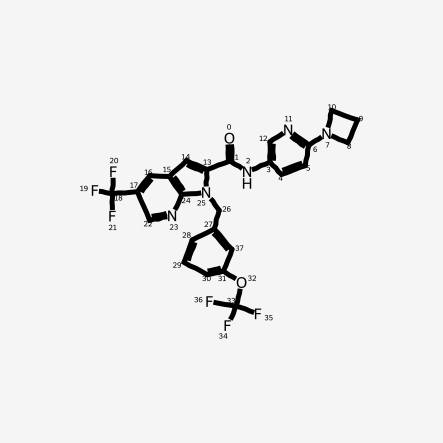 O=C(Nc1ccc(N2CCC2)nc1)c1cc2cc(C(F)(F)F)cnc2n1Cc1cccc(OC(F)(F)F)c1